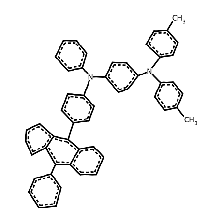 Cc1ccc(N(c2ccc(C)cc2)c2ccc(N(c3ccccc3)c3ccc(-c4c5ccccc5c(-c5ccccc5)c5ccccc45)cc3)cc2)cc1